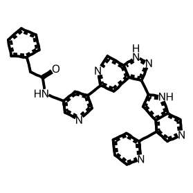 O=C(Cc1ccccc1)Nc1cncc(-c2cc3c(-c4cc5c(-c6ccccn6)cncc5[nH]4)n[nH]c3cn2)c1